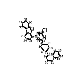 Clc1nc(-c2ccc(-c3cccc4ccccc34)cc2)nc(-c2cccc3c2oc2ccccc23)n1